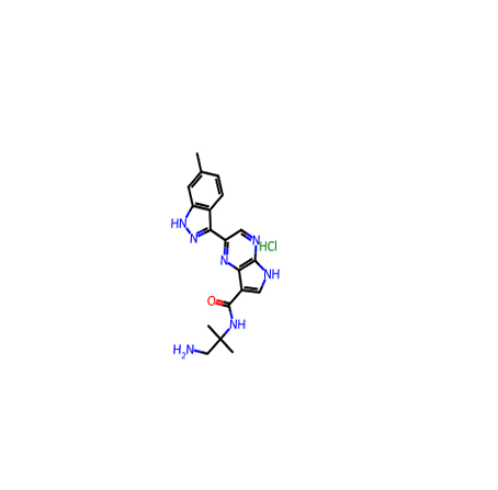 Cc1ccc2c(-c3cnc4[nH]cc(C(=O)NC(C)(C)CN)c4n3)n[nH]c2c1.Cl